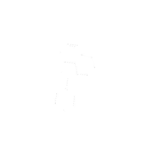 Cl.c1cc2c3c(c1)nc(N1CCCCC1)n3CCC2